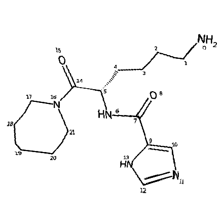 NCCCC[C@H](NC(=O)c1cnc[nH]1)C(=O)N1CCCCC1